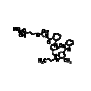 CCCc1nc2c(C)cc(-c3nc4ccccc4n3C)cc2n1Cc1ccc(-c2ccccc2C(=O)NCC(=O)OCCCCON(O)O)cc1